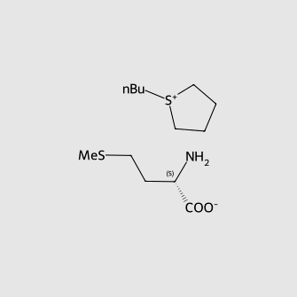 CCCC[S+]1CCCC1.CSCC[C@H](N)C(=O)[O-]